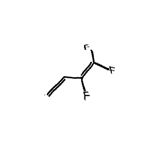 [CH]=CC(F)=C(F)F